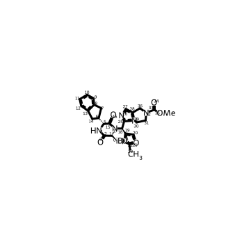 CC[C@H](C)[C@@H]1C(=O)N[C@H](C2Cc3ccccc3C2)C(=O)N1[C@H](c1coc(C)n1)c1ncc2n1CCN(C(=O)OC)C2